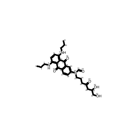 CCCNc1ccc(NCCC)c2c1C(=O)c1ccc(N(C=O)CCCC(=O)CC(O)CO)cc1C2=O